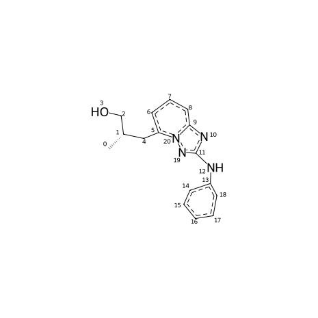 C[C@H](CO)Cc1cccc2nc(Nc3ccccc3)nn12